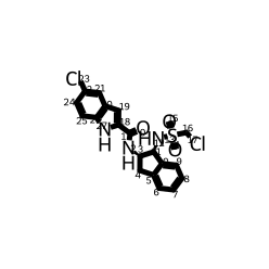 O=C(N[C@@H]1Cc2ccccc2[C@@H]1NS(=O)(=O)CCl)c1cc2cc(Cl)ccc2[nH]1